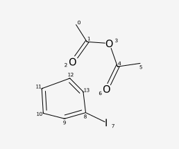 CC(=O)OC(C)=O.Ic1ccccc1